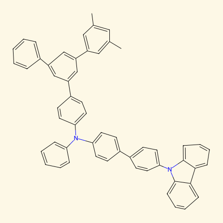 Cc1cc(C)cc(-c2cc(-c3ccccc3)cc(-c3ccc(N(c4ccccc4)c4ccc(-c5ccc(-n6c7ccccc7c7ccccc76)cc5)cc4)cc3)c2)c1